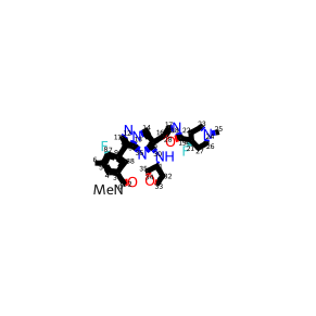 CNC(=O)c1cc(C)c(F)c(-c2cnn3cc(-c4cnc(C5(F)CCN(C)CC5)o4)c(N[C@H]4CCOC4)nc23)c1